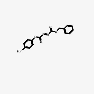 Cc1ccc(OC(=O)N=NC(=O)OCc2ccccc2)cc1